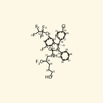 C[C@](c1cc(F)cc(OC(F)(F)C(F)F)c1)(c1ccc(Cl)cn1)N(C(=O)NCC(CCCO)C(F)(F)F)c1ccccc1